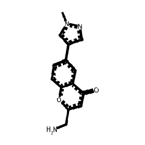 Cn1cc(-c2ccc3oc(CN)cc(=O)c3c2)cn1